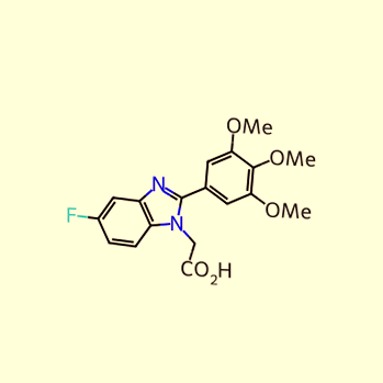 COc1cc(-c2nc3cc(F)ccc3n2CC(=O)O)cc(OC)c1OC